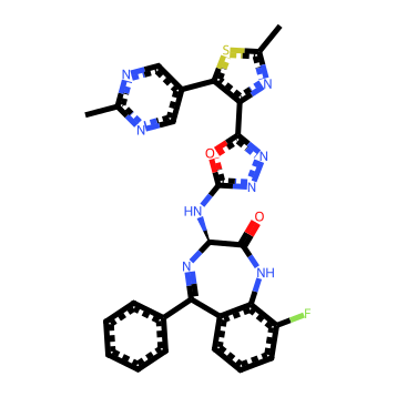 Cc1ncc(-c2sc(C)nc2-c2nnc(N[C@@H]3N=C(c4ccccc4)c4cccc(F)c4NC3=O)o2)cn1